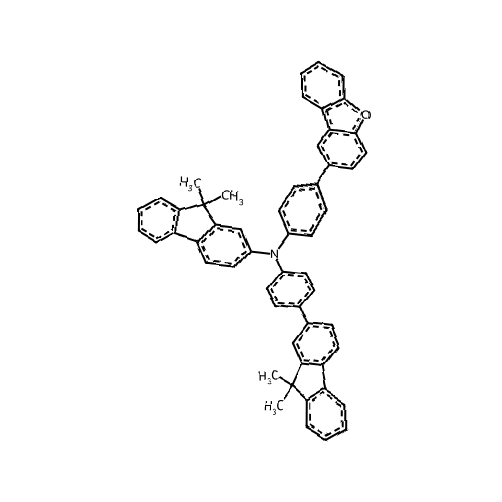 CC1(C)c2ccccc2-c2ccc(-c3ccc(N(c4ccc(-c5ccc6oc7ccccc7c6c5)cc4)c4ccc5c(c4)C(C)(C)c4ccccc4-5)cc3)cc21